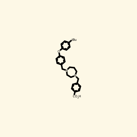 CC(C)(C)c1ccc(Oc2ccc(CN3CCCN(Cc4ccc(C(=O)O)cc4)CC3)cc2)cc1